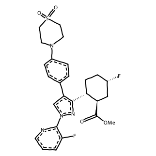 COC(=O)[C@@H]1C[C@@H](F)CC[C@H]1c1nn(-c2ncccc2F)cc1-c1ccc(N2CCS(=O)(=O)CC2)cc1